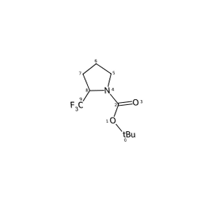 CC(C)(C)OC(=O)N1CCCC1C(F)(F)F